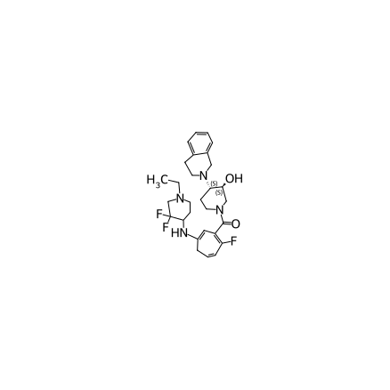 CCN1CCC(NC2=CC(C(=O)N3CC[C@H](N4CCc5ccccc5C4)[C@@H](O)C3)=C(F)C=CC2)C(F)(F)C1